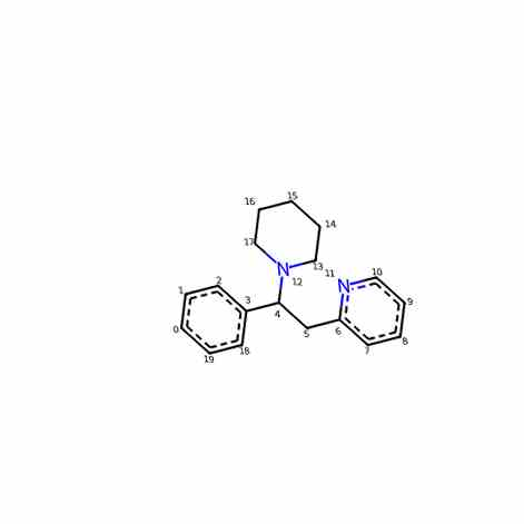 c1ccc(C(Cc2ccccn2)N2CCCCC2)cc1